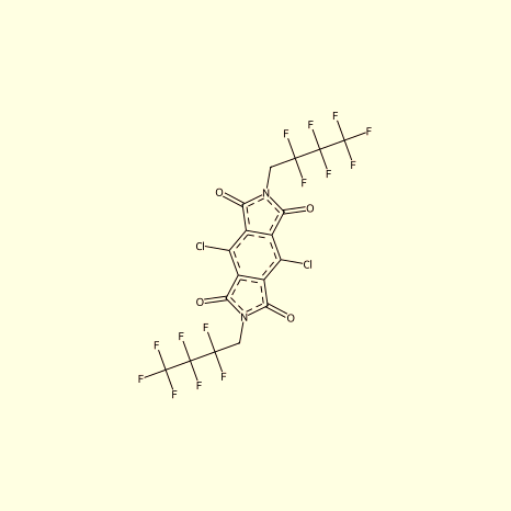 O=c1c2c(Cl)c3c(=O)n(CC(F)(F)C(F)(F)C(F)(F)F)c(=O)c3c(Cl)c2c(=O)n1CC(F)(F)C(F)(F)C(F)(F)F